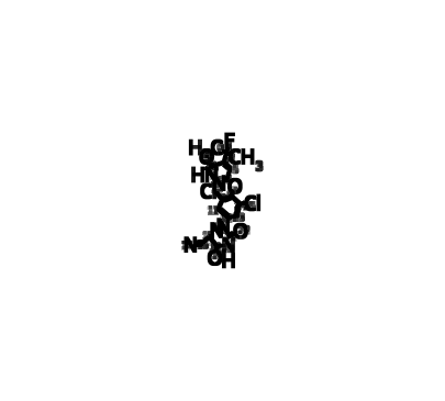 CC(C)(F)c1cc(Oc2c(Cl)cc(-n3nc(C#N)c(=O)[nH]c3=O)cc2Cl)n[nH]c1=O